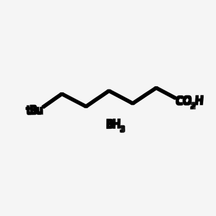 B.CC(C)(C)CCCCCC(=O)O